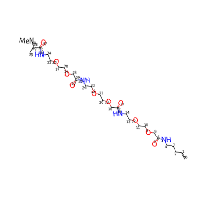 C=CCCCNC(=O)COCCOCCNC(=O)COCCOCCNC(=O)COCCOCCNC(=O)[C@@H](C)NC